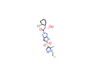 Cc1c(S(=O)(=O)n2cc3c(n2)CN(C(=O)[C@@H](CO)c2ccccc2Cl)C3)cnn1CCF